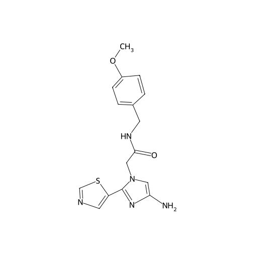 COc1ccc(CNC(=O)Cn2cc(N)nc2-c2cncs2)cc1